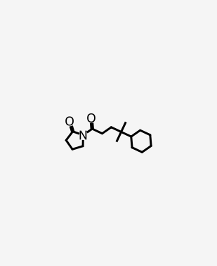 CC(C)(CCC(=O)N1CCCC1=O)C1CCCCC1